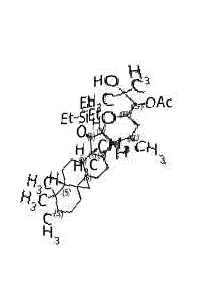 CC[Si](CC)(CC)O[C@H]1[C@H]2O[C@@H]([C@H](OC(C)=O)C(C)(C)O)C[C@@H](C)[C@@H]2[C@@]2(C)CC[C@@]34CC35CC[C@H](C)C(C)(C)[C@@H]5CC[C@H]4[C@]12C